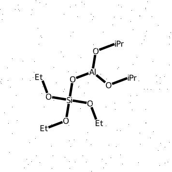 CCO[Si](OCC)(OCC)[O][Al]([O]C(C)C)[O]C(C)C